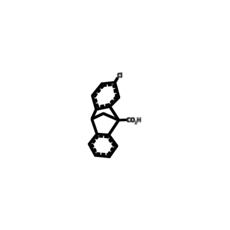 O=C(O)C12CC(c3ccccc31)c1ccc(Cl)cc12